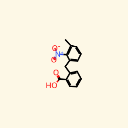 Cc1cccc(Cc2ccccc2C(=O)O)c1[N+](=O)[O-]